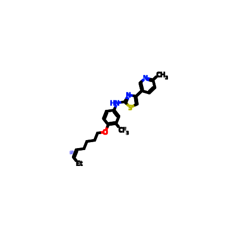 CC/C=C\CCCCOc1ccc(Nc2nc(-c3ccc(C)nc3)cs2)cc1C(F)(F)F